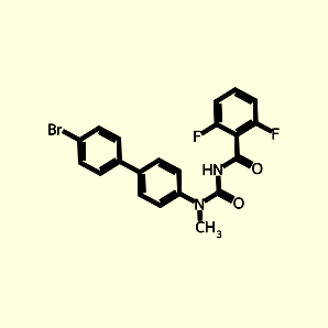 CN(C(=O)NC(=O)c1c(F)cccc1F)c1ccc(-c2ccc(Br)cc2)cc1